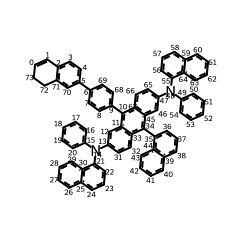 C1=Cc2ccc(-c3ccc(-c4c5cc(N(c6ccccc6)c6cccc7ccccc67)ccc5c(-c5cccc6ccccc56)c5cc(N(c6ccccc6)c6cccc7ccccc67)ccc45)cc3)cc2CC1